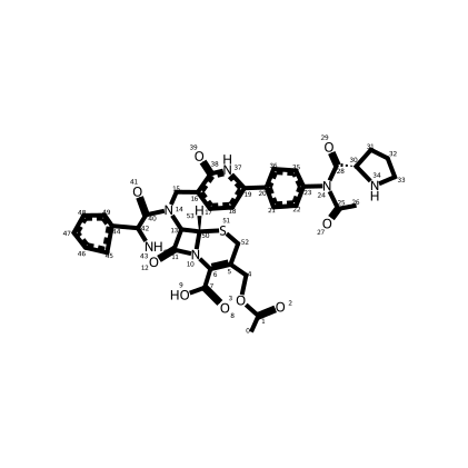 CC(=O)OCC1=C(C(=O)O)N2C(=O)C(N(Cc3ccc(-c4ccc(N(C(C)=O)C(=O)[C@@H]5CCCN5)cc4)[nH]c3=O)C(=O)C(N)c3ccccc3)[C@@H]2SC1